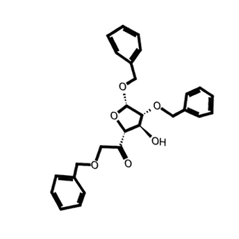 O=C(COCc1ccccc1)[C@@H]1O[C@H](OCc2ccccc2)[C@H](OCc2ccccc2)[C@H]1O